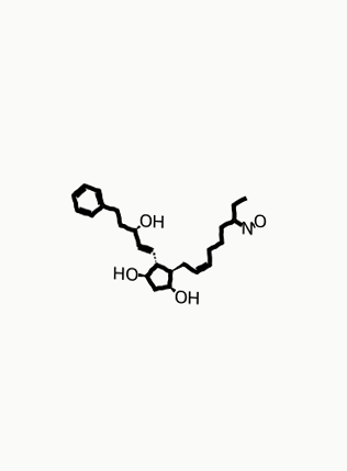 CCC(CCC/C=C\C[C@@H]1[C@@H](/C=C/[C@@H](O)CCc2ccccc2)[C@H](O)C[C@@H]1O)N=O